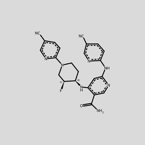 N#Cc1ccc(Nc2cc(N[C@@H]3CCN(c4ccc(C#N)cn4)C[C@@H]3F)c(C(N)=O)cn2)nc1